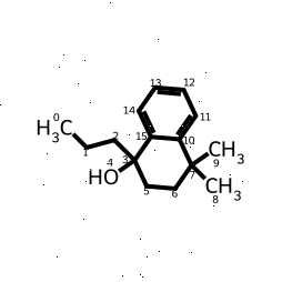 CCCC1(O)CCC(C)(C)c2ccccc21